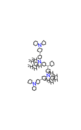 [2H]c1c([2H])c([2H])c(N(c2ccc(-c3ccc(N(c4ccccc4)c4ccccc4)cc3)cc2)c2ccc(C(c3ccccc3)c3ccc(N(c4ccc(-c5ccc(N(c6ccccc6)c6ccccc6)cc5)cc4)c4c([2H])c([2H])c([2H])c([2H])c4[2H])cc3)cc2)c([2H])c1[2H]